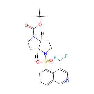 CC(C)(C)OC(=O)N1CC[C@H]2[C@@H]1CCN2S(=O)(=O)c1cccc2cncc(C(F)F)c12